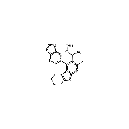 CC(=O)C(OC(C)(C)C)c1c(C)nc2sc3c(c2c1-c1cnc2ccoc2c1)CCCC3